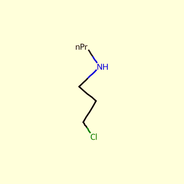 [CH2]CCNCCCCl